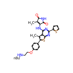 CCCCNCCOc1ccc(-c2sc3nc(-c4cccs4)nc(NC4=C(C)C(=O)NC4=O)c3c2C)cc1